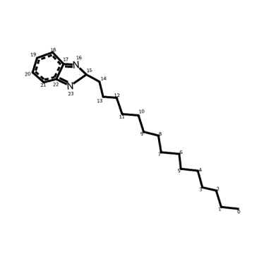 CCCCCCCCCCCCCCCC1N=c2ccccc2=N1